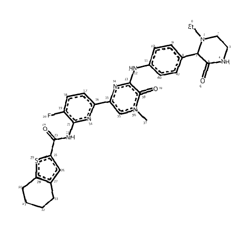 CCN1CCNC(=O)C1c1ccc(Nc2nc(-c3ccc(F)c(NC(=O)c4cc5c(s4)CCCC5)n3)cn(C)c2=O)cc1